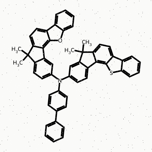 CC1(C)c2ccc(N(c3ccc(-c4ccccc4)cc3)c3ccc4c(c3)C(C)(C)c3ccc5c(sc6ccccc65)c3-4)cc2-c2c1ccc1c2oc2ccccc21